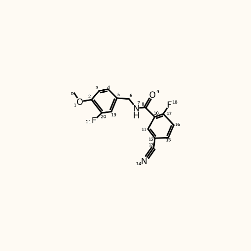 COc1ccc(CNC(=O)c2cc(C#N)ccc2F)cc1F